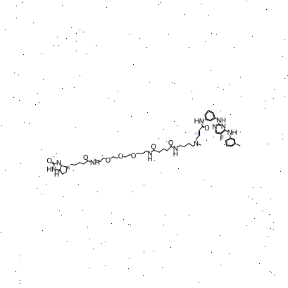 Cc1cccc(Nc2nc(Nc3cccc(NC(=O)/C=C/CN(C)CCCCNC(=O)CCCC(=O)NCCCOCCOCCOCCCNC(=O)CCCC[C@@H]4CC[C@@H]5NC(=O)N=C45)c3)ncc2F)c1